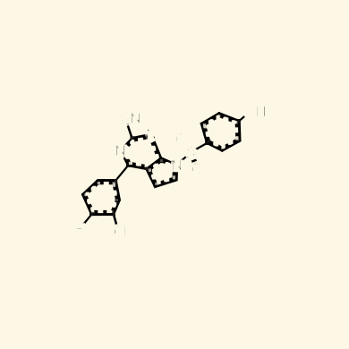 Cc1ccc(S(=O)(=O)n2ccc3c(-c4ccc(F)c(C)c4)nc(C#N)nc32)cc1